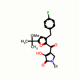 CCN1CC(C(=O)c2oc(C(C)(C)OC)cc2Cc2ccc(F)cc2)=C(O)C1=O